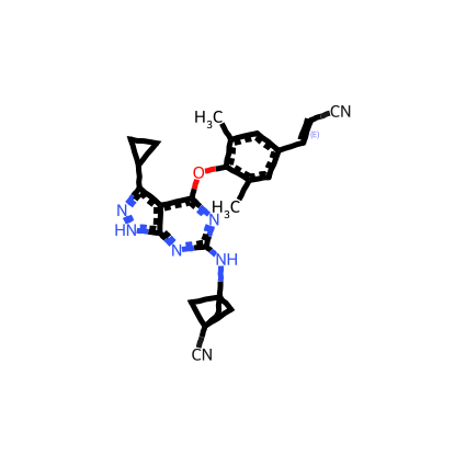 Cc1cc(/C=C/C#N)cc(C)c1Oc1nc(NC23CC(C#N)(C2)C3)nc2[nH]nc(C3CC3)c12